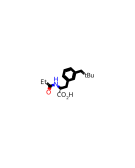 CCC(=O)N[C@H](Cc1cccc(CC(C)(C)C)c1)C(=O)O